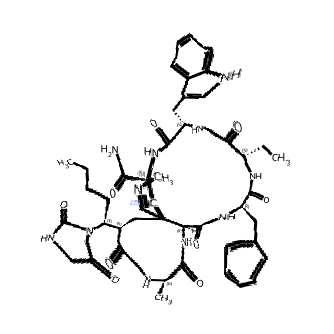 CCCC[C@@H]([C@H]1CC2(/C=N\C)C[C@@H](C(N)=O)NC(=O)[C@H](Cc3c[nH]c4ccccc34)NC(=O)[C@H](CC)NC(=O)[C@@H](Cc3ccccc3)NC(=O)[C@H]2NC(=O)[C@@H](C)NC1=O)N1C(=O)CNC1=O